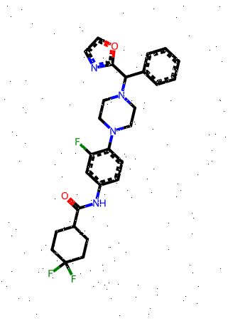 O=C(Nc1ccc(N2CCN(C(c3ccccc3)c3ncco3)CC2)c(F)c1)C1CCC(F)(F)CC1